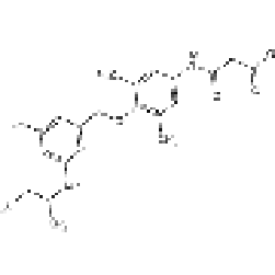 CCC(C)Nc1cc(Cl)cc(COc2c(C)cc(NC(=O)CC(=O)O)cc2C)c1